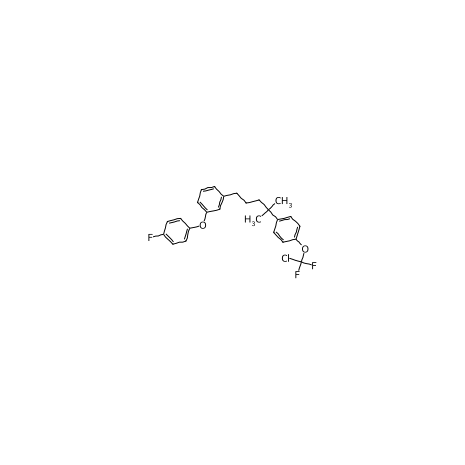 CC(C)(CCCc1cccc(Oc2ccc(F)cc2)c1)c1ccc(OC(F)(F)Cl)cc1